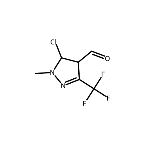 CN1N=C(C(F)(F)F)C(C=O)C1Cl